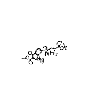 CCOC(=O)c1cn(N(C)C)c2cc(OC(N)CCC(=O)OC(C)(C)C)ccc2c1=O